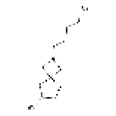 CC(C)N1CCC2(CN(CCCCC(C)(C)C)C2)C1